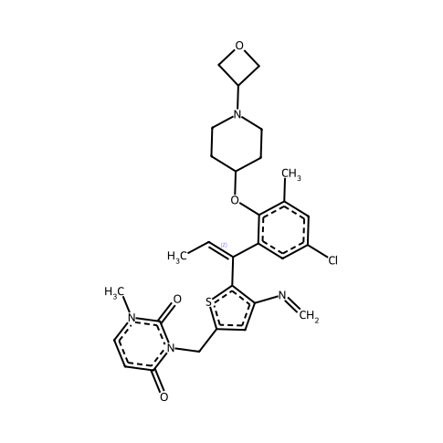 C=Nc1cc(Cn2c(=O)ccn(C)c2=O)sc1/C(=C\C)c1cc(Cl)cc(C)c1OC1CCN(C2COC2)CC1